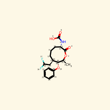 C[C@@H]1OC(=O)[C@@H](NC(=O)O)CCC[C@H](CC(F)F)[C@H]1Oc1ccccc1